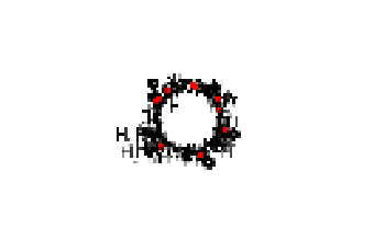 CCCC[C@H]1C(=O)N(C)[C@@H](CCCC)C(=O)N[C@@H](CCCNC(=N)N)C(=O)N[C@H](C(=O)NCC(N)=O)CSCC(=O)N[C@@H](Cc2ccc(-c3ccccc3)cc2)C(=O)N(C)[C@@H](C)C(=O)N[C@@H](CC(N)=O)C(=O)N2CCC[C@H]2C(=O)N[C@@H](Cc2cnc[nH]2)C(=O)N[C@@H](CC(C)C)C(=O)N(C)CC(=O)N[C@@H](Cc2c[nH]c3ccccc23)C(=O)N[C@@H](CO)C(=O)N[C@@H](Cc2c[nH]c3ccccc23)C(=O)N1C